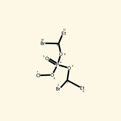 CCC(Br)OP(=O)(OCl)OC(Br)CC